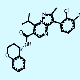 Cc1nn2c(C(C)C)c(C(=O)N[C@H]3CCOc4ccccc43)cnc2c1-c1cccc(F)c1Cl